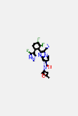 Cn1cc(-c2ccc(F)c(F)c2-c2nc3cc(C(=O)NC45COC(C)(C4)C5)ccn3c2C#N)c(F)n1